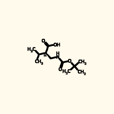 CC(C)[C@H](CNC(=O)OC(C)(C)C)C(=O)O